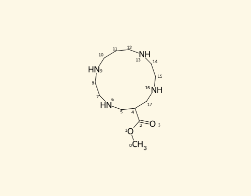 COC(=O)C1CNCCNCCCNCCNC1